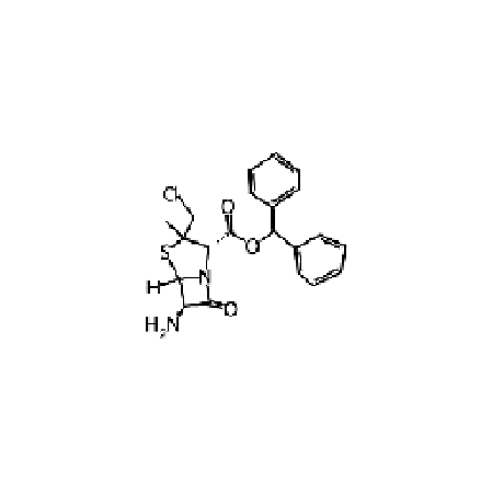 CC1(CCl)S[C@H]2[C@H](N)C(=O)N2[C@H]1C(=O)OC(c1ccccc1)c1ccccc1